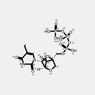 Cc1cn([C@@H]2O[C@@]3(COP(=O)(O)OP(=O)(O)OP(=O)(O)O)CO[C@@H]2[C@@H]3F)c(=O)[nH]c1=O